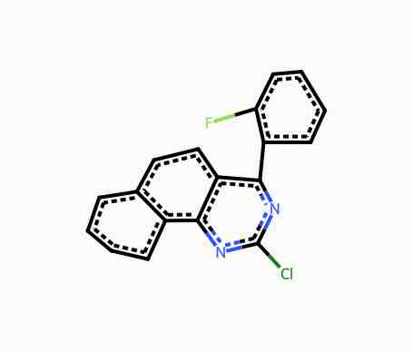 Fc1ccccc1-c1nc(Cl)nc2c1ccc1ccccc12